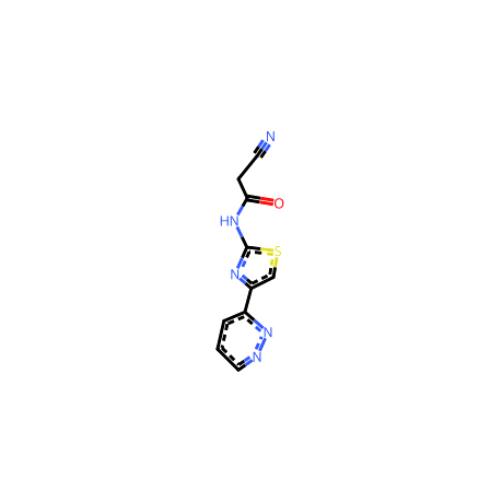 N#CCC(=O)Nc1nc(-c2cccnn2)cs1